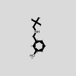 CC(C)(C)CNCc1cccc(O)c1